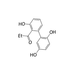 CCC(=O)c1c(O)cccc1-c1cc(O)ccc1O